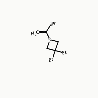 C=C(C(C)C)N1CC(CC)(CC)C1